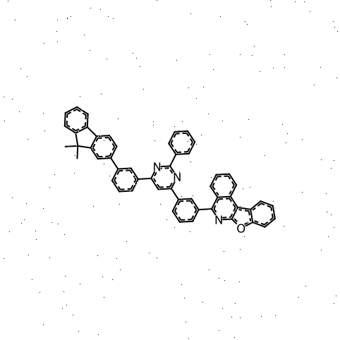 CC1(C)c2ccccc2-c2ccc(-c3cccc(-c4cc(-c5cccc(-c6nc7oc8ccccc8c7c7ccccc67)c5)nc(-c5ccccc5)n4)c3)cc21